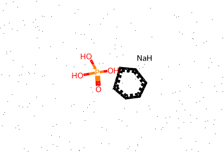 O=P(O)(O)O.[NaH].c1ccccc1